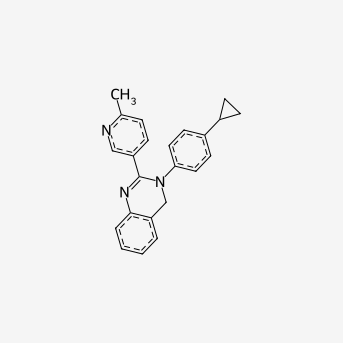 Cc1ccc(C2=Nc3ccccc3CN2c2ccc(C3CC3)cc2)cn1